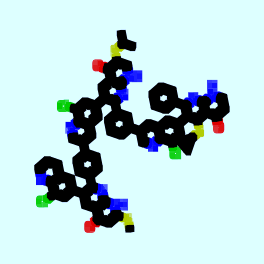 CSc1cc(=O)c2cc(-c3cc(Cl)c4ncccc4c3)c(-c3ccc(-c4cnc5c(Cl)cc(-c6cc7c(=O)c(SC(C)C)c[nH]c7nc6-c6cccc(-c7cnc8c(Cl)cc(-c9c(-c%10ccccc%10)nc%10[nH]ccc(=O)c%10c9SC9CC9)cc8c7)c6)cc5c4)cc3)nc2[nH]1